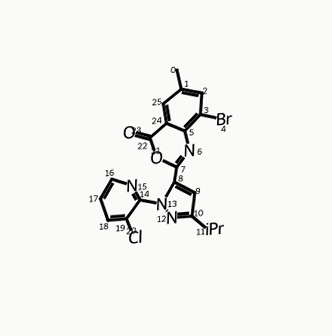 Cc1cc(Br)c2nc(-c3cc(C(C)C)nn3-c3ncccc3Cl)oc(=O)c2c1